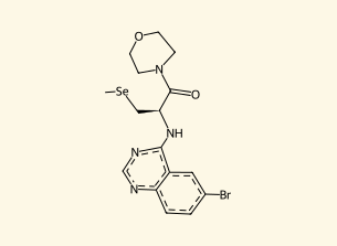 C[Se]C[C@H](Nc1ncnc2ccc(Br)cc12)C(=O)N1CCOCC1